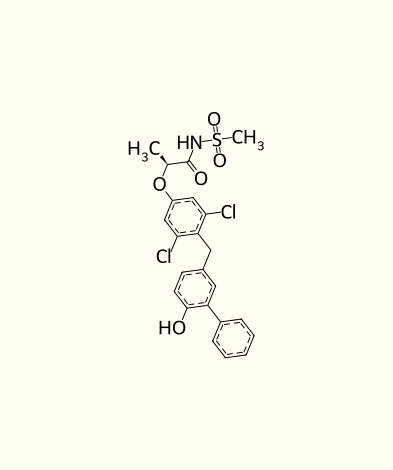 C[C@H](Oc1cc(Cl)c(Cc2ccc(O)c(-c3ccccc3)c2)c(Cl)c1)C(=O)NS(C)(=O)=O